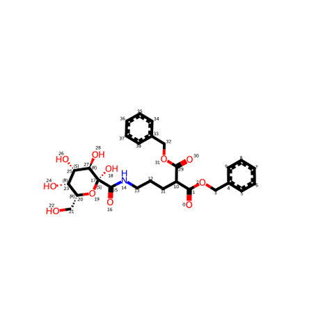 O=C(OCc1ccccc1)C(CCCNC(=O)[C@@]1(O)O[C@H](CO)[C@H](O)[C@H](O)[C@H]1O)C(=O)OCc1ccccc1